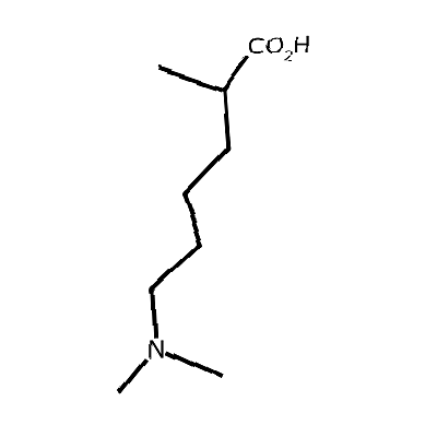 CC(CCCCN(C)C)C(=O)O